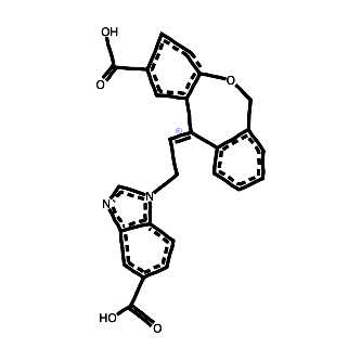 O=C(O)c1ccc2c(c1)/C(=C/Cn1cnc3cc(C(=O)O)ccc31)c1ccccc1CO2